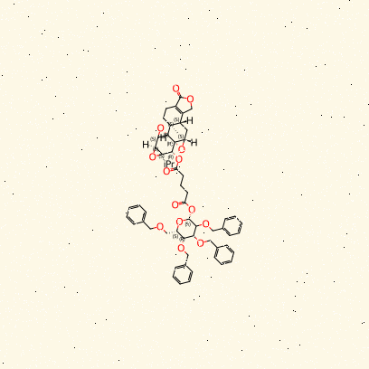 CC(C)[C@]12O[C@H]1[C@@H]1O[C@]13[C@]1(O[C@H]1C[C@H]1C4=C(CC[C@@]13C)C(=O)OC4)[C@@H]2OC(=O)CCCC(=O)O[C@H]1O[C@@H](COCc2ccccc2)[C@@H](OCc2ccccc2)C(OCc2ccccc2)C1OCc1ccccc1